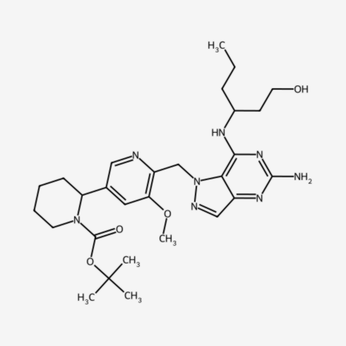 CCCC(CCO)Nc1nc(N)nc2cnn(Cc3ncc(C4CCCCN4C(=O)OC(C)(C)C)cc3OC)c12